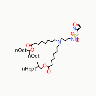 CCCCCCCCC(CCCCCCCC)OC(=O)CCCCCCCN(CCCCCCCC(=O)OCC(C)CCCCCCC)CCCNS(=O)(=O)Cc1ccon1